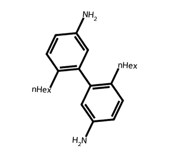 CCCCCCc1ccc(N)cc1-c1cc(N)ccc1CCCCCC